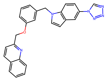 c1cc(Cn2ccc3cc(-n4cnnn4)ccc32)cc(OCc2ccc3ccccc3n2)c1